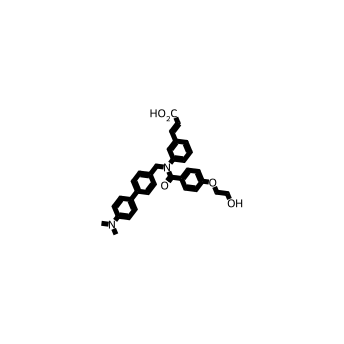 CN(C)c1ccc(-c2ccc(CN(C(=O)c3ccc(OCCO)cc3)c3cccc(/C=C/C(=O)O)c3)cc2)cc1